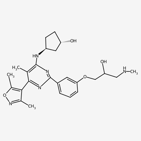 CNCC(O)COc1cccc(-c2nc(N[C@H]3CC[C@H](O)C3)c(C)c(-c3c(C)noc3C)n2)c1